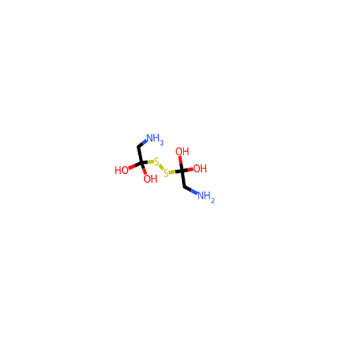 NCC(O)(O)SSC(O)(O)CN